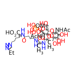 CCc1cn(CCCC[C@H](NC(=O)CCCNC(=O)[C@H](C)NC(=O)[C@@H](C)O[C@H]2C(O[C@@H]3O[C@H](CO)[C@@H](O)[C@H](O)[C@H]3NC(C)=O)[C@@H](CO)O[C@H](OP(=O)(O)P(=O)(O)OC)[C@@H]2NC(C)=O)C(=O)O)nn1